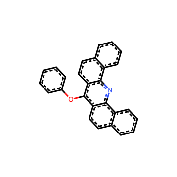 c1ccc(Oc2c3ccc4ccccc4c3nc3c2ccc2ccccc23)cc1